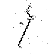 CCCCCCCCCCCCCCCCCC(=O)NC(C)CCCS(=O)(=O)OCC.N.N